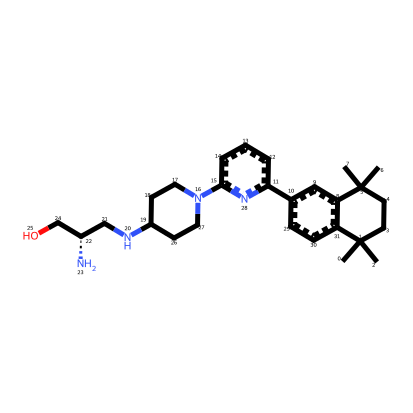 CC1(C)CCC(C)(C)c2cc(-c3cccc(N4CCC(NC[C@H](N)CO)CC4)n3)ccc21